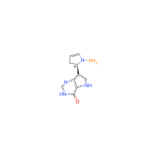 O=c1[nH]cnc2c([C@H]3CC=CN3P)c[nH]c12